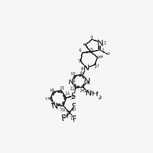 CC1=NCCC12CCN(c1cnc(Sc3cccnc3C(F)(F)F)c(N)n1)CC2